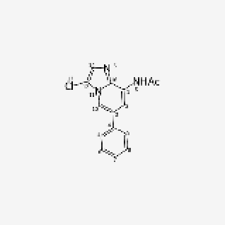 CC(=O)Nc1cc(-c2ccccc2)cn2c(Cl)cnc12